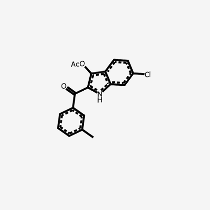 CC(=O)Oc1c(C(=O)c2cccc(C)c2)[nH]c2cc(Cl)ccc12